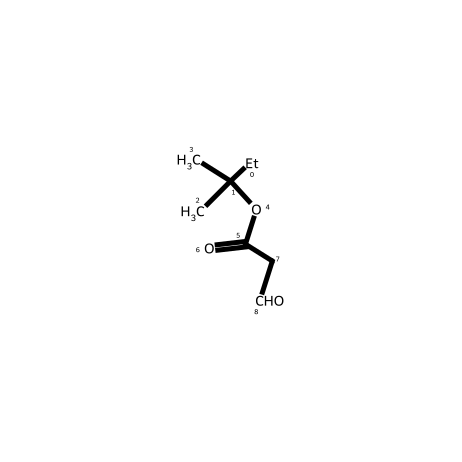 CCC(C)(C)OC(=O)CC=O